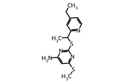 CCc1ccnc(C(C)Sc2nc(N)cc(SC)n2)c1